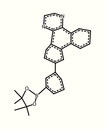 CC1(C)OB(c2cccc(-c3ccc4c(c3)c3ccccc3c3nccnc43)c2)OC1(C)C